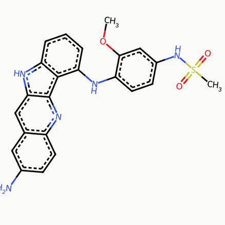 COc1cc(NS(C)(=O)=O)ccc1Nc1cccc2[nH]c3cc4cc(N)ccc4nc3c12